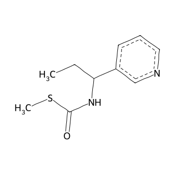 CCC(NC(=O)SC)c1cccnc1